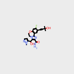 Cn1nccc1C(O)c1c(C(N)=O)nc2n1CCOc1cc(F)c(C#CC(C)(C)O)cc1-2